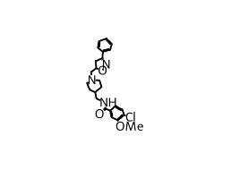 COc1cc(C(=O)NCC2CCN(CC3CC(c4ccccc4)=NO3)CC2)ccc1Cl